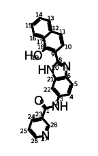 O=C(Nc1ccc2nc(-c3ccc4ccccc4c3O)[nH]c2c1)c1cccnc1